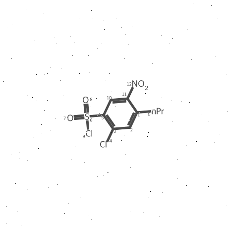 CCCc1cc(Cl)c(S(=O)(=O)Cl)cc1[N+](=O)[O-]